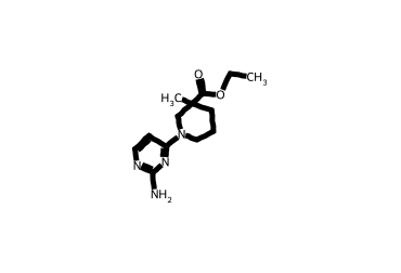 CCOC(=O)C1(C)CCCN(c2ccnc(N)n2)C1